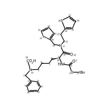 CC(C)(C)OC(=O)N[C@@H](CCCCN(Cc1ccccc1)C(=O)O)C(=O)N(CCc1cccs1)Cc1cccs1